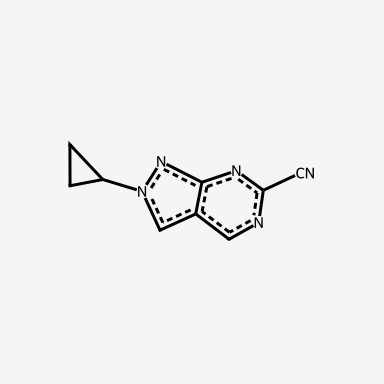 N#Cc1ncc2cn(C3CC3)nc2n1